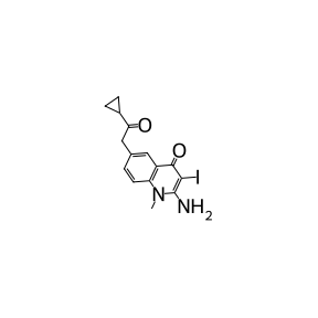 Cn1c(N)c(I)c(=O)c2cc(CC(=O)C3CC3)ccc21